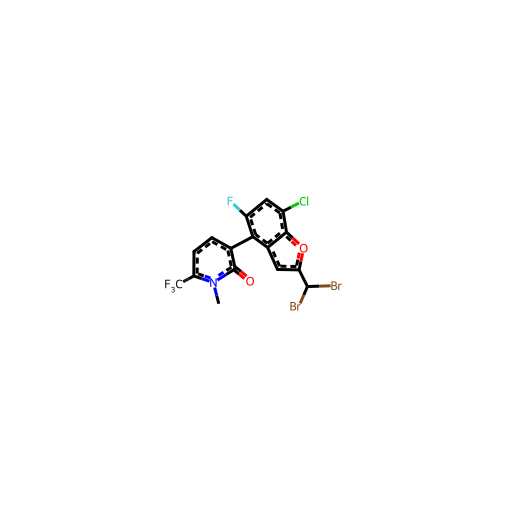 Cn1c(C(F)(F)F)ccc(-c2c(F)cc(Cl)c3oc(C(Br)Br)cc23)c1=O